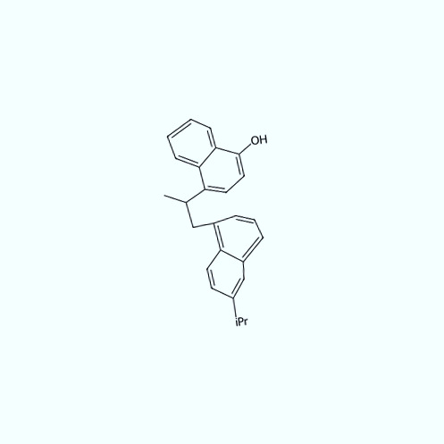 CC(C)c1ccc2c(CC(C)c3ccc(O)c4ccccc34)cccc2c1